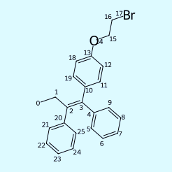 CC/C(=C(/c1ccccc1)c1ccc(OCCBr)cc1)c1ccccc1